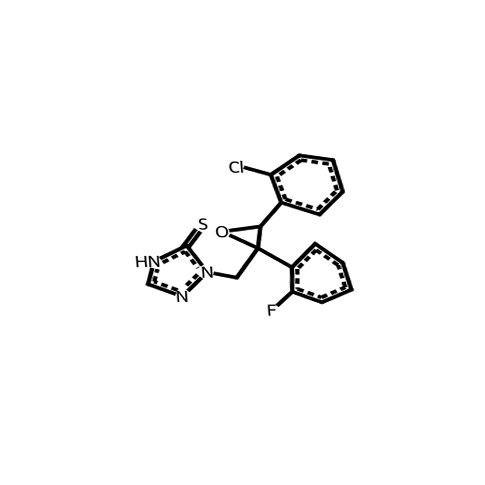 Fc1ccccc1C1(Cn2nc[nH]c2=S)OC1c1ccccc1Cl